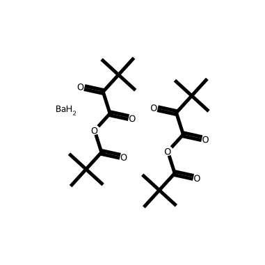 CC(C)(C)C(=O)OC(=O)C(=O)C(C)(C)C.CC(C)(C)C(=O)OC(=O)C(=O)C(C)(C)C.[BaH2]